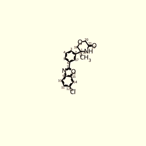 C[C@]1(c2cccc(-c3nc4ccc(Cl)cc4o3)c2)COCC(=O)N1